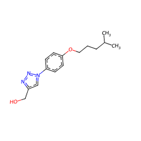 CC(C)CCCOc1ccc(-n2cc(CO)nn2)cc1